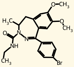 CCNC(=O)N1N=C(c2ccc(Br)cc2)c2cc(OC)c(OC)cc2CC1C